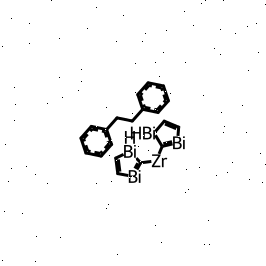 [CH]1=[CH][BiH][C]([Zr][C]2=[Bi][CH]=[CH][BiH]2)=[Bi]1.c1ccc(CCc2ccccc2)cc1